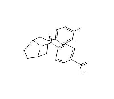 COC(=O)c1ccc(C(=O)N2C3CCC2CC(c2ccc(F)cc2)C3)cc1